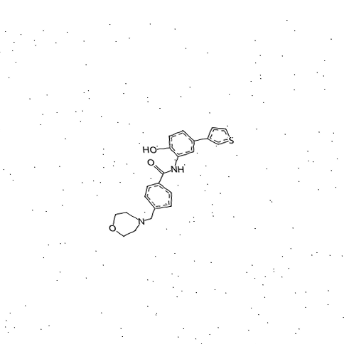 O=C(Nc1cc(-c2ccsc2)ccc1O)c1ccc(CN2CCOCC2)cc1